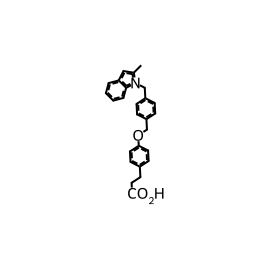 Cc1cc2ccccc2n1Cc1ccc(COc2ccc(CCC(=O)O)cc2)cc1